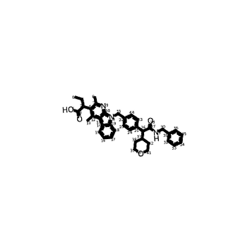 CCC(C(=O)O)c1c(C)nc2c(c1C)c1ccccc1n2Cc1ccc(C(C(=O)NCc2ccccc2)C2CCOCC2)cc1